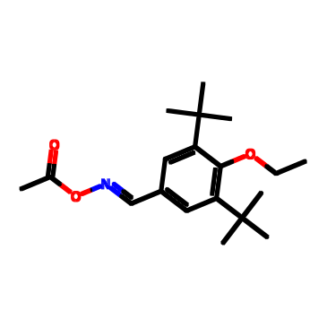 CCOc1c(C(C)(C)C)cc(/C=N/OC(C)=O)cc1C(C)(C)C